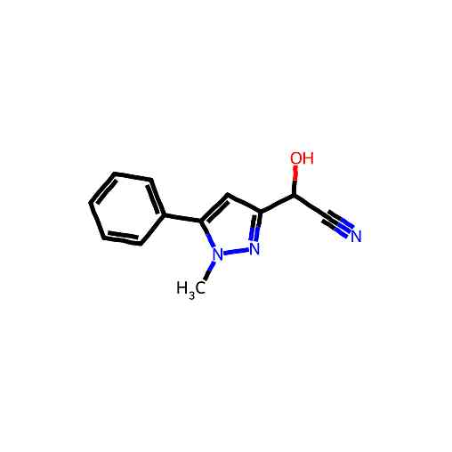 Cn1nc(C(O)C#N)cc1-c1ccccc1